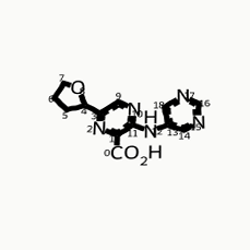 O=C(O)c1nc(C2CCCO2)cnc1Nc1cncnc1